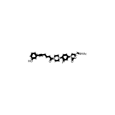 CC(=O)NC[C@H]1CN(c2ccc(N3CCN(C(=O)CCCC#Cc4cccc(O)c4)CC3)c(F)c2)C(=O)O1